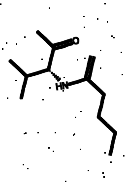 C=C(CCCC)N[C@@H](C(C)=O)C(C)C